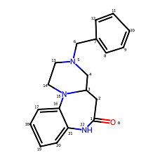 O=C1CC2CN(Cc3ccccc3)CCN2c2ccccc2N1